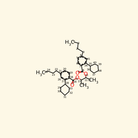 CCCCc1ccc(C(=O)OC(C)C(C)OC(=O)c2ccc(CCCC)cc2C2CCCCC2)c(C2CCCCC2)c1